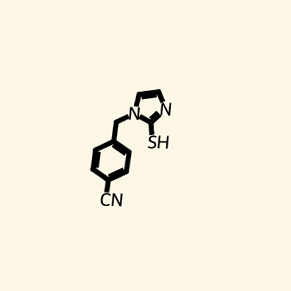 N#Cc1ccc(Cn2ccnc2S)cc1